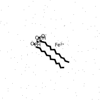 CCCCCCCCCCCC[PH](=O)[O-].CCCCCCCCCCCC[PH](=O)[O-].[Fe+2]